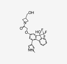 Cn1cc(-c2cc(OCC(=O)N3CC(CO)C3)cc3c2-c2ccccc2C3(O)C(F)(F)F)cn1